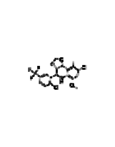 COc1cc(Cl)c(C)c2c1NC(c1cc(C(F)(F)F)ccc1Cl)C1OCOC21